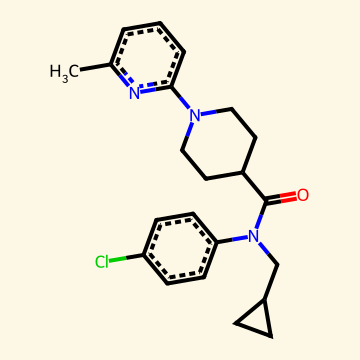 Cc1cccc(N2CCC(C(=O)N(CC3CC3)c3ccc(Cl)cc3)CC2)n1